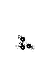 COc1cccc(NC(=O)c2c(N)cccc2Oc2ccc([N+](=O)[O-])cc2)c1